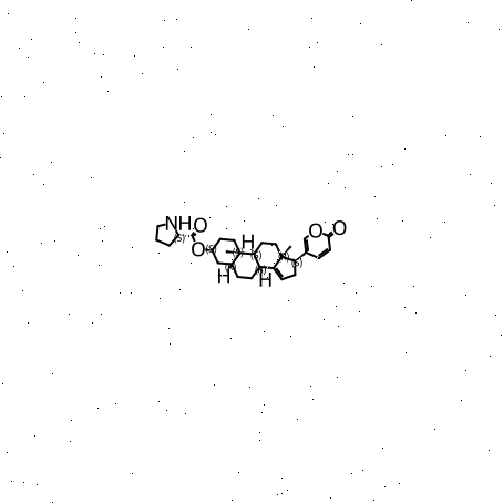 C[C@]12CC[C@H](OC(=O)[C@@H]3CCCN3)C[C@H]1CC[C@H]1C3=CC[C@H](c4ccc(=O)oc4)[C@@]3(C)CC[C@@H]12